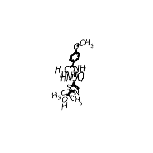 COc1ccc(C(C)NS(=N)(=O)c2cnc(C(C)(C)O)s2)cc1